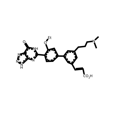 CCOc1cc(-c2cc(/C=C/C(=O)O)cc(CCCN(C)C)c2)ccc1-c1nc2[nH]nnc2c(=O)[nH]1